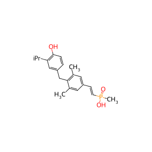 Cc1cc(/C=C/P(C)(=O)O)cc(C)c1Cc1ccc(O)c(C(C)C)c1